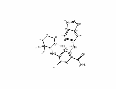 NC(=O)c1cc(F)c(N[C@H]2[C@@H](N)CCCC2(F)F)nc1Nc1ccc2ncsc2c1